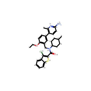 CCOc1ccc(-c2ccc(N)nc2C)cc1CN(C(=O)c1sc2ccccc2c1Cl)C1CCC(C)CC1